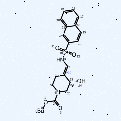 CC(C)(C)OC(=O)N1CC/C(=C\NS(=O)(=O)c2ccc3ccccc3c2)[C@H](O)C1